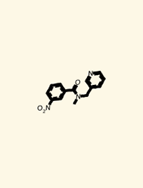 CN(Cc1cccnc1)C(=O)c1cccc([N+](=O)[O-])c1